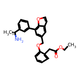 CCOC(=O)Cc1ccccc1OCc1cc(-c2cccc([C@H](C)N)c2)c2occc2c1